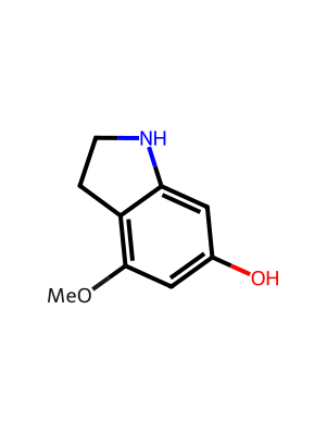 COc1cc(O)cc2c1CCN2